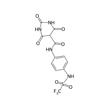 O=C1NC(=O)C(C(=O)Nc2ccc(NS(=O)(=O)C(F)(F)F)cc2)C(=O)N1